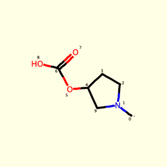 [CH2]N1CCC(OC(=O)O)C1